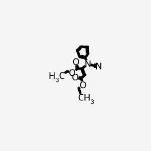 CCOC(=O)C=C(C(=O)OCC)N(C#N)c1ccccc1